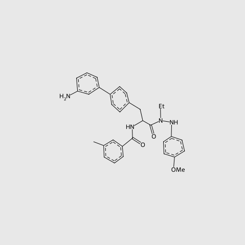 CCN(Nc1ccc(OC)cc1)C(=O)C(Cc1ccc(-c2cccc(N)c2)cc1)NC(=O)c1cccc(C)c1